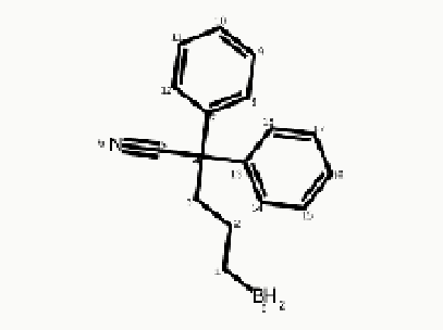 BCCCC(C#N)(c1ccccc1)c1ccccc1